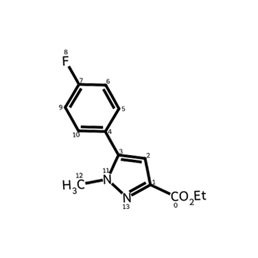 CCOC(=O)c1cc(-c2ccc(F)cc2)n(C)n1